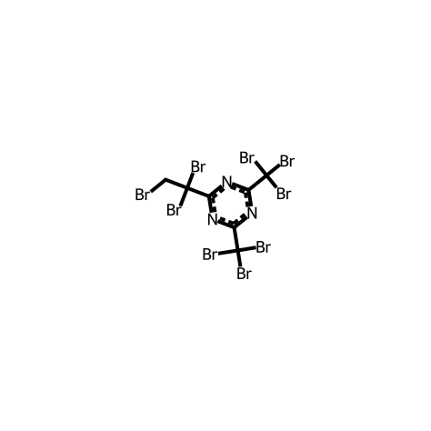 BrCC(Br)(Br)c1nc(C(Br)(Br)Br)nc(C(Br)(Br)Br)n1